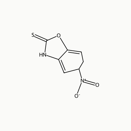 O=[N+]([O-])C1C=c2[nH]c(=S)oc2=CC1